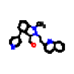 CN1c2cccc(-c3ccncc3)c2C(C=O)N1CCc1ccc2ccccc2n1